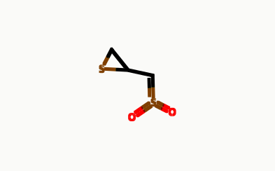 O=S(=O)=CC1CS1